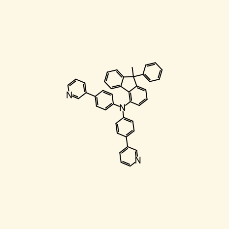 CC1(c2ccccc2)c2ccccc2-c2c(N(c3ccc(-c4cccnc4)cc3)c3ccc(-c4cccnc4)cc3)cccc21